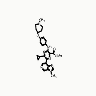 COC(=O)c1nc(-c2cncc3c2ncn3C)c(C2CC2)nc1Nc1ccc(OC2CCN(C)CC2)cc1